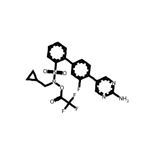 Nc1ncc(-c2ccc(-c3ccccc3S(=O)(=O)N(CC3CC3)OC(=O)C(F)(F)F)cc2F)cn1